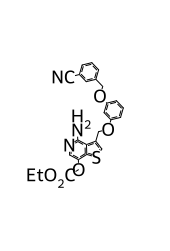 CCOC(=O)Oc1cnc(N)c2c(COc3cccc(OCc4cccc(C#N)c4)c3)csc12